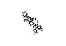 CN(C(=O)c1ccc(-c2nc(-c3ccccc3)c3cc(Cl)ccc3n2)cc1N)c1ccccc1